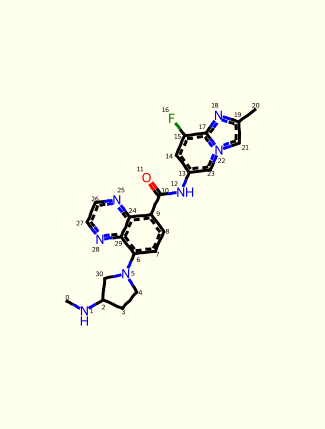 CNC1CCN(c2ccc(C(=O)Nc3cc(F)c4nc(C)cn4c3)c3nccnc23)C1